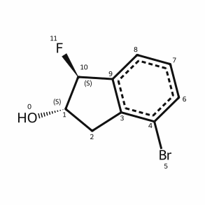 O[C@H]1Cc2c(Br)cccc2[C@@H]1F